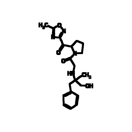 Cc1nc(C(=O)C2CCCN2C(=O)CNC(C)(CO)Cc2ccccc2)no1